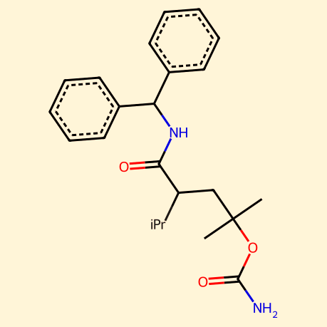 CC(C)C(CC(C)(C)OC(N)=O)C(=O)NC(c1ccccc1)c1ccccc1